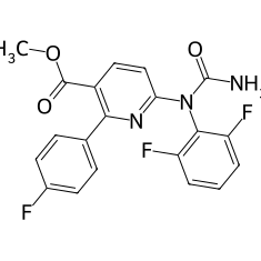 COC(=O)c1ccc(N(C(N)=O)c2c(F)cccc2F)nc1-c1ccc(F)cc1